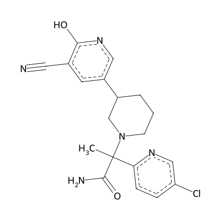 CC(C(N)=O)(c1ccc(Cl)cn1)N1CCCC(c2cnc(O)c(C#N)c2)C1